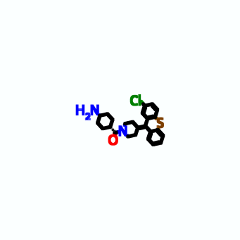 N[C@H]1CC[C@H](C(=O)N2CCC(=C3c4ccccc4Sc4ccc(Cl)cc43)CC2)CC1